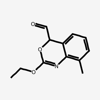 CCOC1=Nc2c(C)cccc2C(C=O)O1